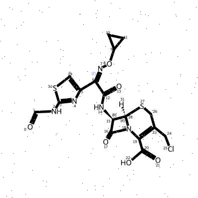 O=CNc1nc(/C(=N/OC2CC2)C(=O)N[C@@H]2C(=O)N3C(C(=O)O)=C(CCl)CS[C@H]23)cs1